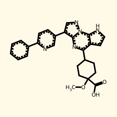 COC1(C(=O)O)CCC(c2nc3c(-c4ccc(-c5ccccc5)nc4)cnn3c3[nH]ccc23)CC1